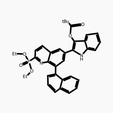 CCOP(=O)(OCC)c1ccc2cc(-c3[nH]c4ccccc4c3OC(=O)C(C)(C)C)cc(-c3cccc4ccccc34)c2n1